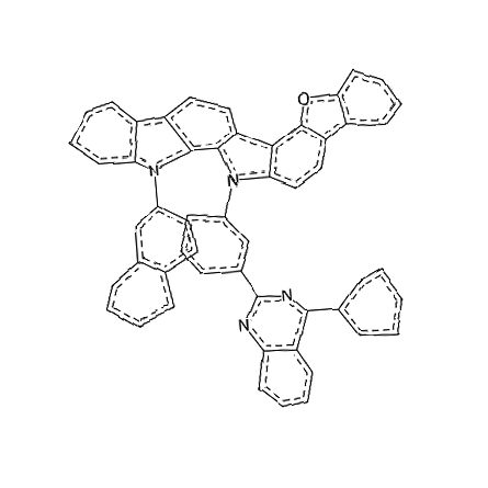 c1ccc(-c2nc(-c3cccc(-n4c5ccc6c7ccccc7oc6c5c5ccc6c7ccccc7n(-c7ccc8ccccc8c7)c6c54)c3)nc3ccccc23)cc1